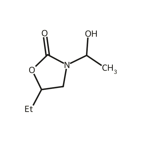 CCC1CN(C(C)O)C(=O)O1